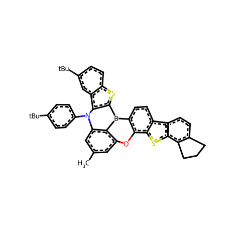 Cc1cc2c3c(c1)N(c1ccc(C(C)(C)C)cc1)c1c(sc4ccc(C(C)(C)C)cc14)B3c1ccc3c(sc4c5c(ccc43)CCC5)c1O2